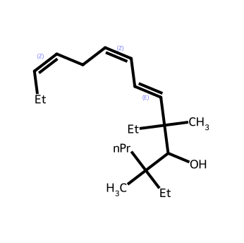 CC/C=C\C/C=C\C=C\C(C)(CC)C(O)C(C)(CC)CCC